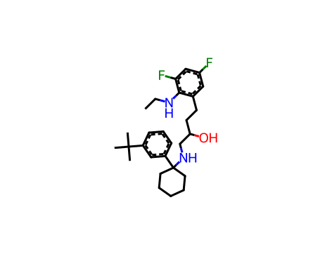 CCNc1c(F)cc(F)cc1CCC(O)CNC1(c2cccc(C(C)(C)C)c2)CCCCC1